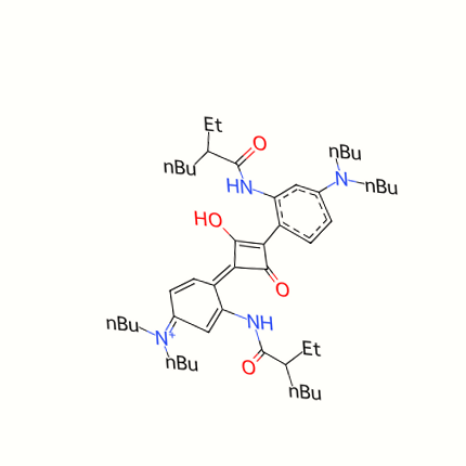 CCCCC(CC)C(=O)NC1=CC(=[N+](CCCC)CCCC)C=C/C1=C1/C(=O)C(c2ccc(N(CCCC)CCCC)cc2NC(=O)C(CC)CCCC)=C1O